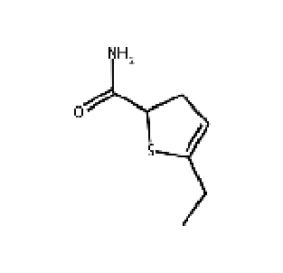 CCC1=CCC(C(N)=O)S1